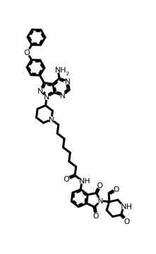 Nc1ncnc2c1c(-c1ccc(Oc3ccccc3)cc1)nn2C1CCCN(CCCCCCCC(=O)Nc2cccc3c2C(=O)N(C2(C=O)CCC(=O)NC2)C3=O)C1